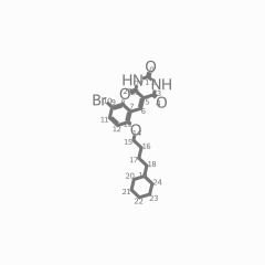 O=C1NC(=O)C(=Cc2cc(Br)ccc2OCCCCC2CCCCC2)C(=O)N1